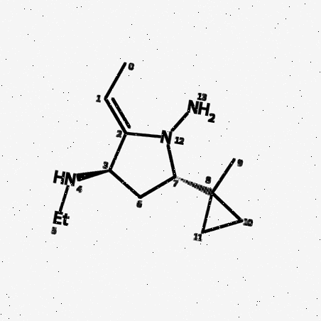 C/C=C1/[C@H](NCC)C[C@@H](C2(C)CC2)N1N